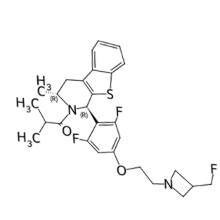 CC(C)C(=O)N1[C@H](c2c(F)cc(OCCN3CC(CF)C3)cc2F)c2sc3ccccc3c2C[C@H]1C